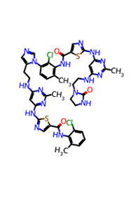 Cc1nc(NCCc2cncn2-c2ccc(C)c(NC(=O)c3cnc(Nc4cc(NCCN5CCNC5=O)nc(C)n4)s3)c2Cl)cc(Nc2ncc(C(=O)Nc3c(C)cccc3Cl)s2)n1